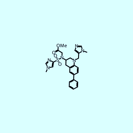 COC(=O)CN(C1Cc2cc(-c3ccccc3)ccc2N(Cc2cncn2C)C1)S(=O)(=O)c1cn(C)cn1